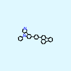 c1ccc(-n2c3ccncc3c3cc(-c4ccc(-c5ccc6c7c(cccc57)-c5ccccc5-6)cc4)ccc32)cc1